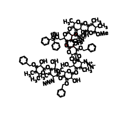 CO[C@H]1OC(CO)[C@@H](O[C@@H]2OC(C)[C@@H](O[C@H]3OC(CO[Si](c4ccccc4)(c4ccccc4)C(C)(C)C)[C@H](O[C@@H]4OC(C)[C@@H](O[C@H]5OC(CO)[C@@H](O[C@@H]6OC(C)[C@@H](O[C@@H]7OC(CO)[C@H](O[C@@H]8OC(C)[C@@H](C)[C@@H](OCc9ccccc9)C8O)[C@H](C)C7N=[N+]=[N-])[C@@H](OCc7ccccc7)C6O)[C@H](C)C5N=[N+]=[N-])[C@@H](OCc5ccccc5)C4O)[C@H](C)C3N=[N+]=[N-])[C@@H](OCc3ccccc3)C2O)[C@H](C)C1C